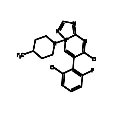 Fc1cccc(Cl)c1C1=C[N+]2(N3CCC(C(F)(F)F)CC3)N=CN=C2N=C1Cl